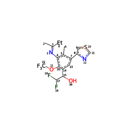 CC/C(C)=N\c1c(C)c(-c2cscn2)cc(C(O)C(F)F)c1OC(F)(F)F